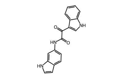 O=C(Nc1ccc2cc[nH]c2c1)C(=O)c1c[nH]c2ccccc12